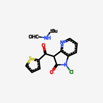 CC(C)(C)NC=O.O=C(c1cccs1)C1C(=O)N(Cl)c2cccnc21